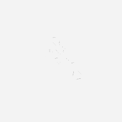 COC(=O)[C@@H](Nc1nc(CNC(=O)Cc2ccc3c(c2)OCO3)nc2ccccc12)C(C)C